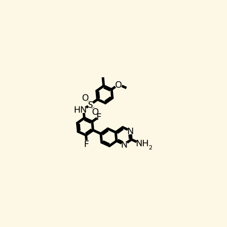 COc1ccc(S(=O)(=O)Nc2ccc(F)c(-c3ccc4nc(N)ncc4c3)c2F)cc1C